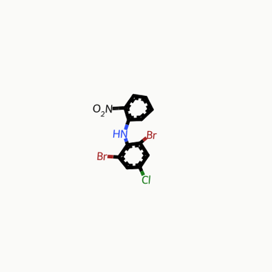 O=[N+]([O-])c1ccccc1Nc1c(Br)cc(Cl)cc1Br